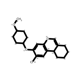 COC1CCC(Oc2cc3c(cc2Cl)C2CCCCC2=CO3)CC1